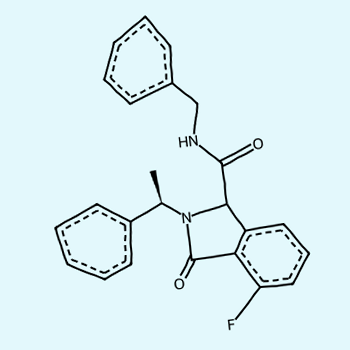 C[C@H](c1ccccc1)N1C(=O)c2c(F)cccc2C1C(=O)NCc1ccccc1